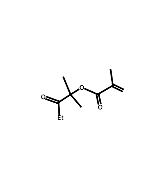 C=C(C)C(=O)OC(C)(C)C(=O)CC